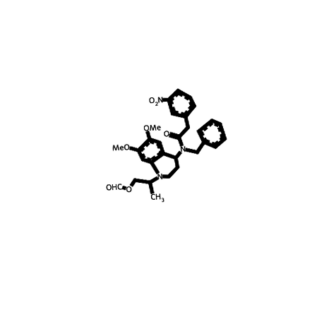 COc1cc2c(cc1OC)N(C(C)COC=O)CCC2N(Cc1ccccc1)C(=O)Cc1cccc([N+](=O)[O-])c1